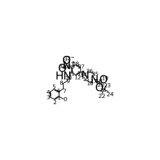 Cc1ccccc1CCCNc1cc(N2CCN(C(=O)OC(C)(C)C)CC2)ccc1[N+](=O)[O-]